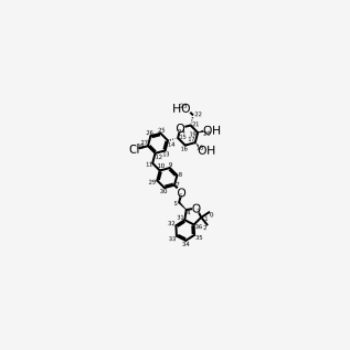 CC1(C)O[C@H](COc2ccc(Cc3cc([C@H]4C[C@@H](O)[C@H](O)[C@@H](CO)O4)ccc3Cl)cc2)c2ccccc21